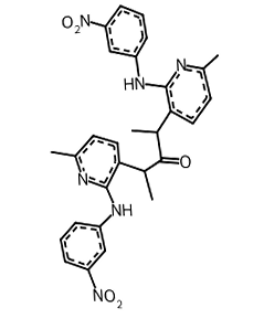 Cc1ccc(C(C)C(=O)C(C)c2ccc(C)nc2Nc2cccc([N+](=O)[O-])c2)c(Nc2cccc([N+](=O)[O-])c2)n1